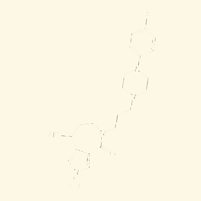 Cn1cc2c(c1)C(O)CCN(CCCN1CCN(c3ccc(F)cc3)CC1)C2=O